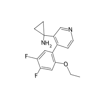 CCOc1cc(F)c(F)cc1-c1ccncc1C1(N)CC1